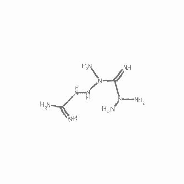 N=C(N)NNN(N)C(=N)N(N)N